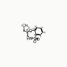 CC[C@@H]1CNS(=O)(=O)c2ccccc2O1